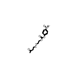 CC(=O)CCSSCCOC(=O)Oc1ccc([N+](=O)[O-])cc1